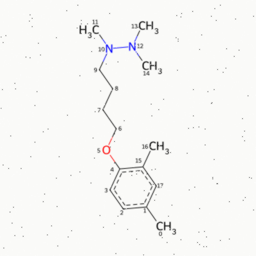 Cc1ccc(OCCCCN(C)N(C)C)c(C)c1